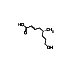 C[C@@H](C/C=C/C(=O)O)CCCO